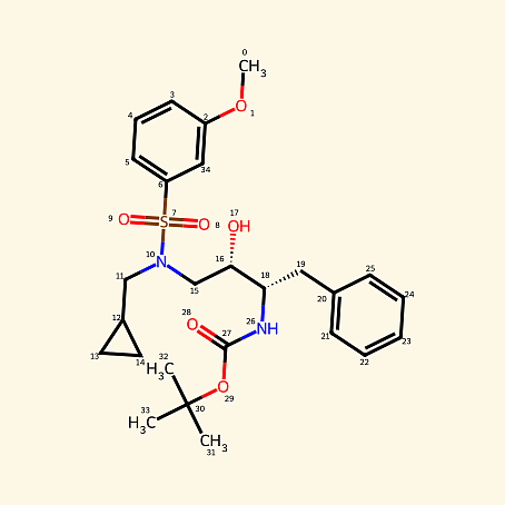 COc1cccc(S(=O)(=O)N(CC2CC2)C[C@H](O)[C@H](Cc2ccccc2)NC(=O)OC(C)(C)C)c1